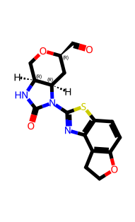 O=C[C@H]1C[C@@H]2[C@H](CO1)NC(=O)N2c1nc2c3c(ccc2s1)OCC3